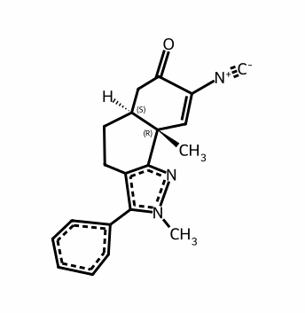 [C-]#[N+]C1=C[C@]2(C)c3nn(C)c(-c4ccccc4)c3CC[C@H]2CC1=O